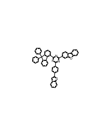 c1ccc(C2(c3ccccc3)c3ccccc3-c3c(-c4nc(-c5ccc(-c6cc7ccccc7s6)cc5)nc(-c5ccc6c(c5)oc5ccccc56)n4)cccc32)cc1